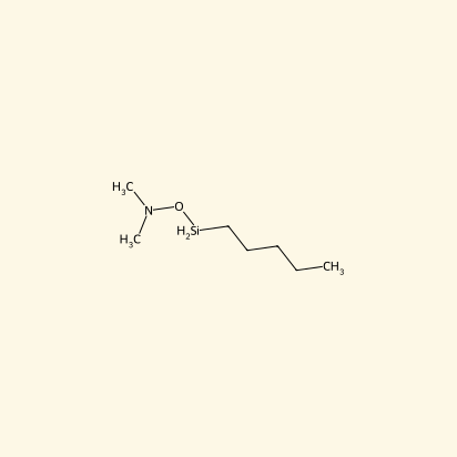 CCCCC[SiH2]ON(C)C